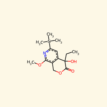 CCC1(O)C(=O)OCc2c1cc([Si](C)(C)C)nc2OC